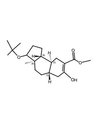 COC(=O)C1=C(O)C[C@@H]2CC[C@@]3(C)C(OC(C)(C)C)CC[C@@H]3[C@H]2C1